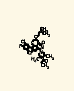 C=CC(=O)N1[C@H](C)CN(c2nc(=O)n3c4c(c(-c5cc(Cl)c(F)cc5F)c(Cl)cc24)SCC(OCCN(C)C)C3)C[C@@H]1C